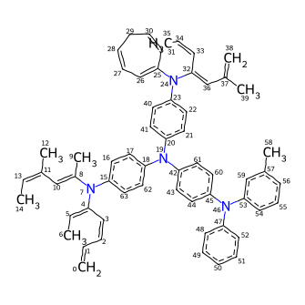 C=C/C=C\C(=C/C)N(/C(C)=C/C(C)=C\C)c1ccc(N(c2ccc(N(C3=CC=CCC=C3)C(/C=C\C)=C/C(=C)C)cc2)c2ccc(N(c3ccccc3)c3cccc(C)c3)cc2)cc1